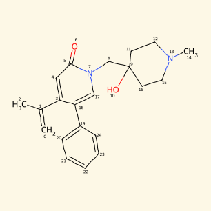 C=C(C)c1cc(=O)n(CC2(O)CCN(C)CC2)cc1-c1ccccc1